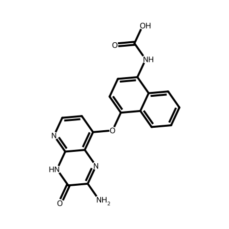 Nc1nc2c(Oc3ccc(NC(=O)O)c4ccccc34)ccnc2[nH]c1=O